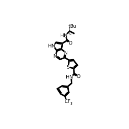 C[C@H](NC(=O)c1c[nH]c2ncc(-c3ccc(C(=O)NCc4cccc(C(F)(F)F)c4)s3)nc12)C(C)(C)C